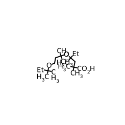 CCC(C)(C)OCCC(C)(C)OC(C)(CC)CC(C)(C)C(=O)O